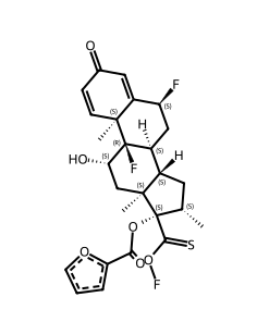 C[C@H]1C[C@H]2[C@@H]3C[C@H](F)C4=CC(=O)C=C[C@]4(C)[C@@]3(F)[C@@H](O)C[C@]2(C)[C@]1(OC(=O)c1ccco1)C(=S)OF